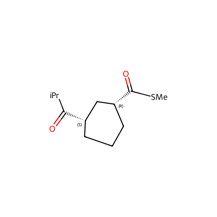 CSC(=O)[C@@H]1CCC[C@H](C(=O)C(C)C)C1